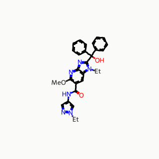 CCn1cc(NC(=O)c2cc3c(nc2OC)nc(C(O)(c2ccccc2)c2ccccc2)n3CC)cn1